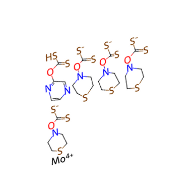 S=C(S)Oc1cnccn1.S=C([S-])ON1CCSCC1.S=C([S-])ON1CCSCC1.S=C([S-])ON1CCSCC1.S=C([S-])ON1CCSCC1.[Mo+4]